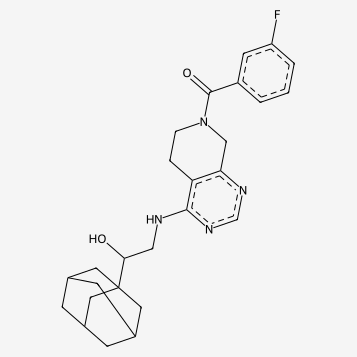 O=C(c1cccc(F)c1)N1CCc2c(ncnc2NCC(O)C23CC4CC(CC(C4)C2)C3)C1